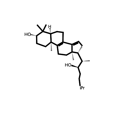 CC(C)CC[C@@H](O)[C@@H](C)[C@H]1CC=C2C3=C(CC[C@@]21C)[C@@]1(C)CC[C@H](O)C(C)(C)[C@H]1CC3